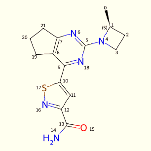 C[C@H]1CCN1c1nc2c(c(-c3cc(C(N)=O)ns3)n1)CCC2